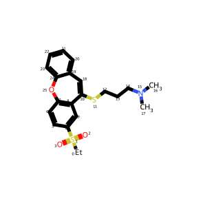 CCS(=O)(=O)c1ccc2c(c1)C(SCCCN(C)C)=Cc1ccccc1O2